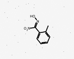 Cc1ccccc1C(=NO)[N+](=O)[O-]